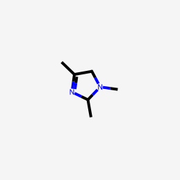 CC1=NC(C)N(C)C1